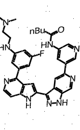 CCCCC(=O)Nc1cncc(-c2cc3c(-c4cc5c(-c6cc(F)cc(NCCN(C)C)c6)nccc5[nH]4)n[nH]c3cn2)c1